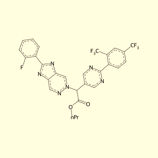 CCCOC(=O)C(c1cnc(-c2ccc(C(F)(F)F)cc2C(F)(F)F)nc1)n1cc2nc(-c3ccccc3F)nc-2cn1